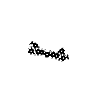 Cc1ccc(C(C)C)cc1N(c1ccc2cc3c(cc2c1)oc1c3ccc2c3cc4ccc(N(c5cc(C(C)C)ccc5C)c5c(C)cccc5C)cc4cc3oc21)c1c(C)cccc1C